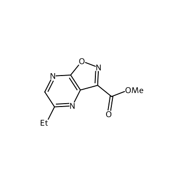 CCc1cnc2onc(C(=O)OC)c2n1